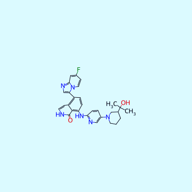 CC(C)(O)C1CCCN(c2ccc(Nc3ccc(-c4cnc5cc(F)ccn45)c4cc[nH]c(=O)c34)nc2)C1